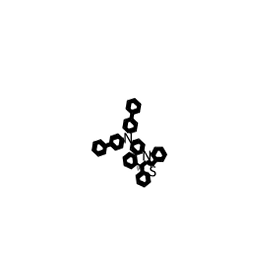 c1ccc(-c2ccc(N(c3ccc(-c4ccccc4)cc3)c3ccc(-n4c5c(c6ccccc64)Sc4ccccc4[C@H]5c4ccccc4)cc3)cc2)cc1